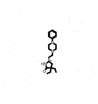 CCC1(CC)C[C@H](CCN2CCN(c3ccccc3)CC2)NC1=O